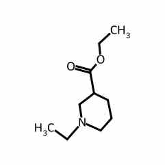 CCOC(=O)C1CCCN(CC)C1